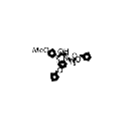 COc1ccc([C@@H]2Sc3cc(OCc4ccccc4)ccc3N(CCN(C)C(=O)OCc3ccccc3)C(=O)[C@@H]2O)cc1